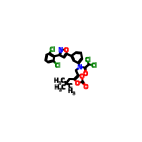 CC(C)(C)Cc1oc(=O)oc1CN(C(=O)C(Cl)Cl)c1cccc(-c2cc(-c3c(Cl)cccc3Cl)no2)c1